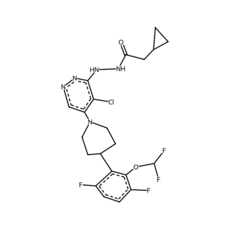 O=C(CC1CC1)NNc1nncc(N2CCC(c3c(F)ccc(F)c3OC(F)F)CC2)c1Cl